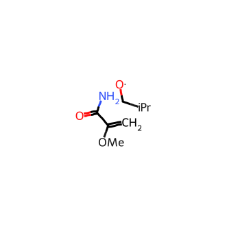 C=C(OC)C(N)=O.CC(C)C[O]